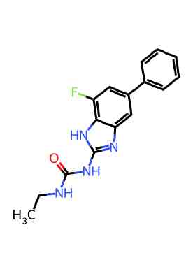 CCNC(=O)Nc1nc2cc(-c3ccccc3)cc(F)c2[nH]1